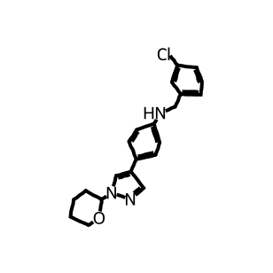 Clc1cccc(CNc2ccc(-c3cnn(C4CCCCO4)c3)cc2)c1